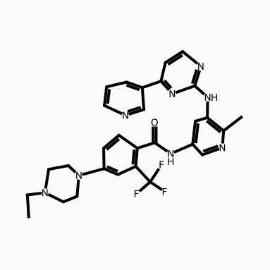 CCN1CCN(c2ccc(C(=O)Nc3cnc(C)c(Nc4nccc(-c5cccnc5)n4)c3)c(C(F)(F)F)c2)CC1